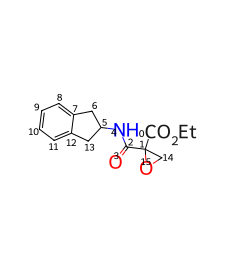 CCOC(=O)C1(C(=O)NC2Cc3ccccc3C2)CO1